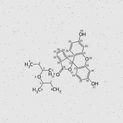 CCC(C)OC(C)CC.O=C1OC2(c3ccc(O)cc3Oc3cc(O)ccc32)c2ccccc21